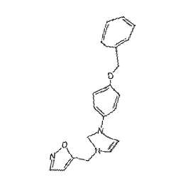 C1=CN(c2ccc(OCc3ccccc3)cc2)CN1Cc1ccno1